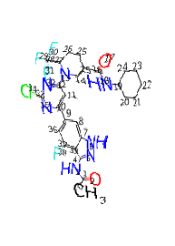 CC(=O)Nc1n[nH]c2cc(-c3cc(N4CC(C(=O)NC5CCCCC5)CCC4C(F)(F)F)nc(Cl)n3)cc(F)c12